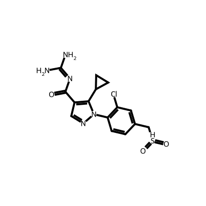 NC(N)=NC(=O)c1cnn(-c2ccc(C[SH](=O)=O)cc2Cl)c1C1CC1